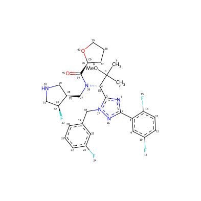 COC(C)(C)[C@H](c1nc(-c2cc(F)ccc2F)nn1Cc1cccc(F)c1)N(C[C@@H]1CNC[C@@H]1F)C(=O)[C@@H]1CCCO1